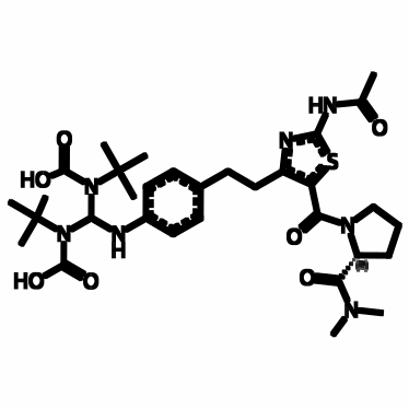 CC(=O)Nc1nc(CCc2ccc(NC(N(C(=O)O)C(C)(C)C)N(C(=O)O)C(C)(C)C)cc2)c(C(=O)N2CCC[C@@H]2C(=O)N(C)C)s1